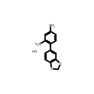 Cl.Nc1ccc(-c2ccc3c(c2)OCO3)c(N)c1